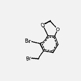 BrCc1ccc2c(c1Br)OCO2